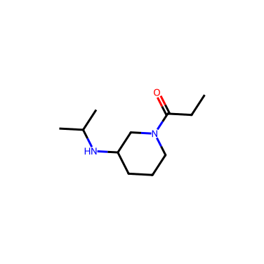 CCC(=O)N1CCCC(NC(C)C)C1